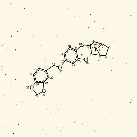 CN1C2CCC1CC(Sc1ccc(OCc3ccc4c(c3)OCO4)cc1Cl)C2